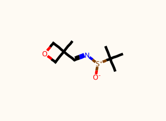 CC1(/C=N/[S+]([O-])C(C)(C)C)COC1